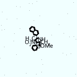 COC(=O)[C@@]1(C)N[C@@H](c2ccc3ccccc3c2)[C@@](C)([N+](=O)[O-])[C@@H]1c1ccccc1